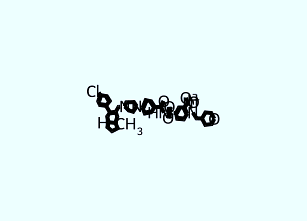 C[C@]12CCC[C@H]1CC(c1ccc(Cl)cc1)=C(CN1CCN(c3ccc(C(=O)NS(=O)(=O)c4ccc(NCC5CCOCC5)c([N+](=O)[O-])c4)cc3)CC1)C2